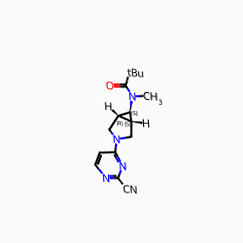 CN(C(=O)C(C)(C)C)[C@H]1[C@@H]2CN(c3ccnc(C#N)n3)C[C@@H]21